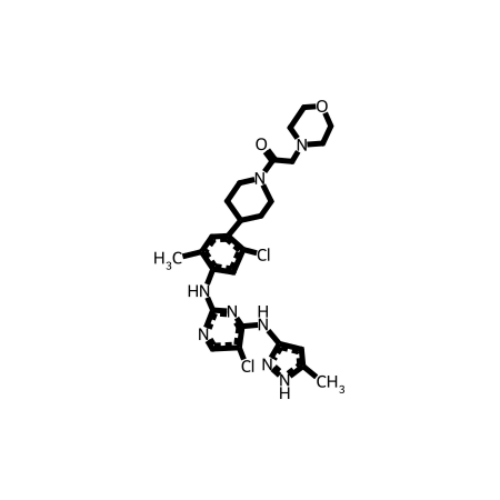 Cc1cc(Nc2nc(Nc3cc(Cl)c(C4CCN(C(=O)CN5CCOCC5)CC4)cc3C)ncc2Cl)n[nH]1